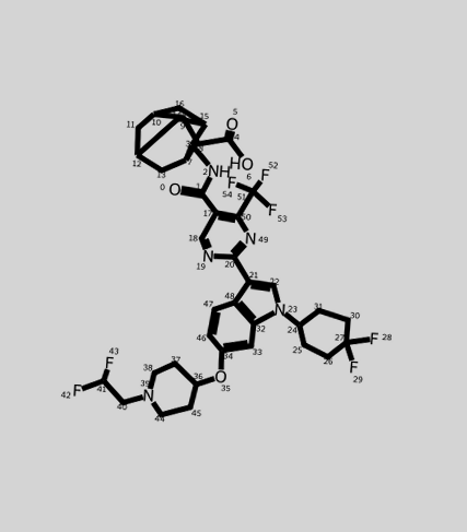 O=C(NC1(C(=O)O)C2CCC3CC(C2)CC1C3)c1cnc(-c2cn(C3CCC(F)(F)CC3)c3cc(OC4CCN(CC(F)F)CC4)ccc23)nc1C(F)(F)F